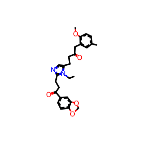 CCn1c(CCC(=O)Cc2cc(C)ccc2OC)cnc1CCC(=O)c1ccc2c(c1)OCO2